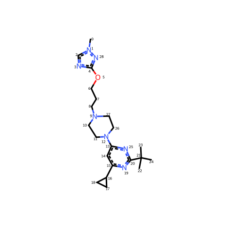 Cn1cnc(OCCCN2CCN(c3cc(C4CC4)nc(C(C)(C)C)n3)CC2)n1